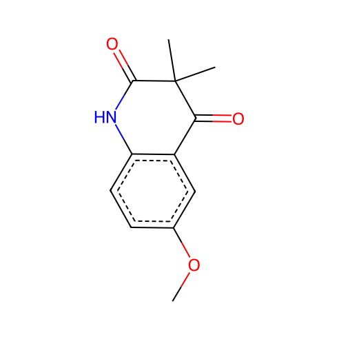 COc1ccc2c(c1)C(=O)C(C)(C)C(=O)N2